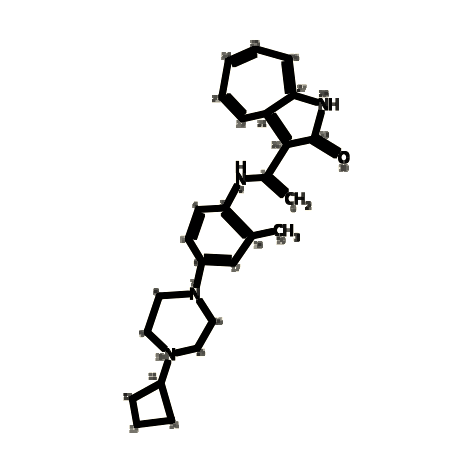 C=C(Nc1ccc(N2CCN(C3CCC3)CC2)cc1C)c1c2cccccc-2[nH]c1=O